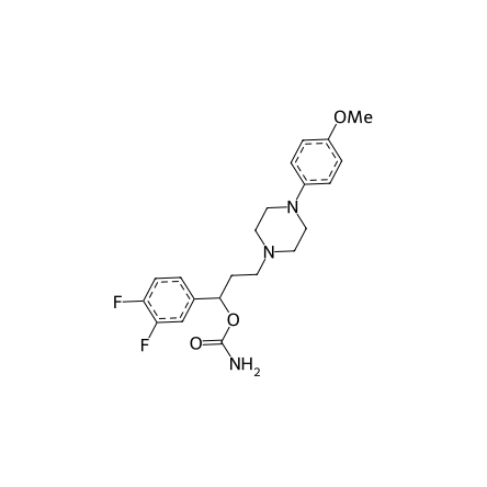 COc1ccc(N2CCN(CCC(OC(N)=O)c3ccc(F)c(F)c3)CC2)cc1